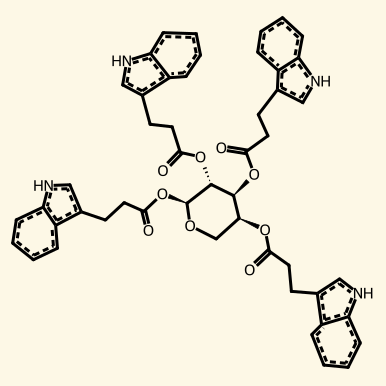 O=C(CCc1c[nH]c2ccccc12)O[C@@H]1OC[C@H](OC(=O)CCc2c[nH]c3ccccc23)[C@H](OC(=O)CCc2c[nH]c3ccccc23)[C@H]1OC(=O)CCc1c[nH]c2ccccc12